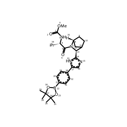 COC(=O)N[C@H](C(=O)N1[C@@H]2CCC(C2)[C@H]1c1ncc(-c2ccc(B3OC(C)(C)C(C)(C)O3)cc2)[nH]1)C(C)C